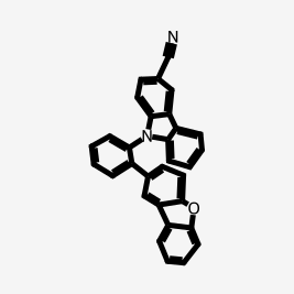 N#Cc1ccc2c(c1)c1ccccc1n2-c1ccccc1-c1ccc2oc3ccccc3c2c1